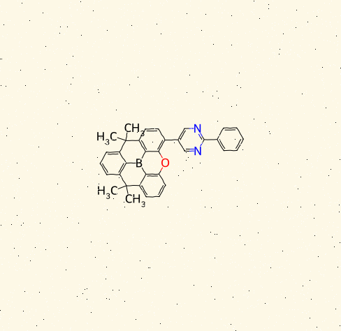 CC1(C)c2cccc3c2B2c4c1cccc4C(C)(C)c1ccc(-c4cnc(-c5ccccc5)nc4)c(c12)O3